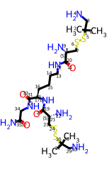 CC(C)(CN)SSC[C@@H](N)C(=O)NCCCC[C@@H](NC(=O)[C@H](N)CSSC(C)(C)CN)C(=O)NCC(N)=O